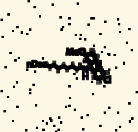 CCCCCCCCCCCCCCCCCCNc1c2ccc(Cl)cc2nc2ccc(OC)cc12